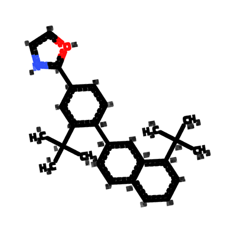 CC(C)(C)c1cc(-c2ncco2)ccc1-c1ccc2cccc(C(C)(C)C)c2c1